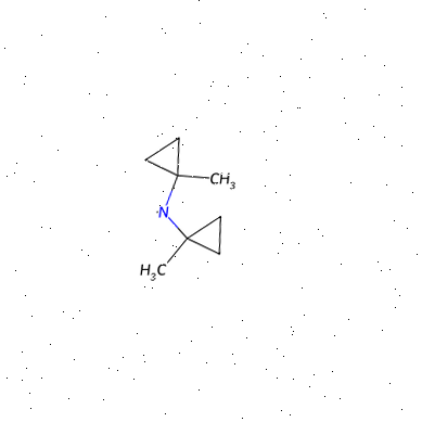 CC1([N]C2(C)CC2)CC1